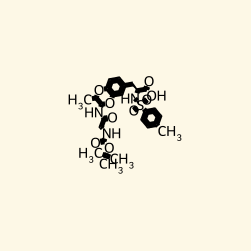 Cc1ccc(S(=O)(=O)N[C@@H](Cc2ccc3c(c2)OC(NC(=O)CNC(=O)OC(C)(C)C)C(C)O3)C(=O)O)cc1